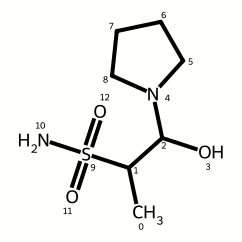 CC(C(O)N1CCCC1)S(N)(=O)=O